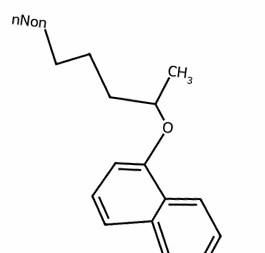 CCCCCCCCCCCCC(C)Oc1cccc2ccccc12